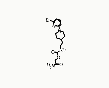 NC(=O)COC(=O)NCCC1CCN(c2cccc(Br)n2)CC1